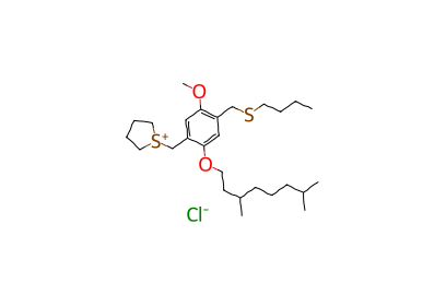 CCCCSCc1cc(OCCC(C)CCCC(C)C)c(C[S+]2CCCC2)cc1OC.[Cl-]